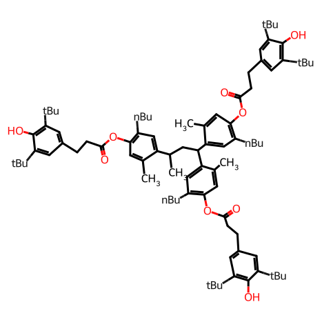 CCCCc1cc(C(C)CC(c2cc(CCCC)c(OC(=O)CCc3cc(C(C)(C)C)c(O)c(C(C)(C)C)c3)cc2C)c2cc(CCCC)c(OC(=O)CCc3cc(C(C)(C)C)c(O)c(C(C)(C)C)c3)cc2C)c(C)cc1OC(=O)CCc1cc(C(C)(C)C)c(O)c(C(C)(C)C)c1